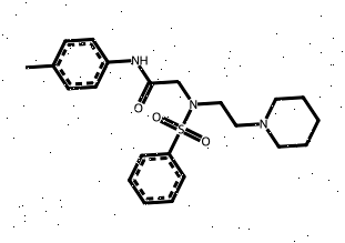 Cc1ccc(NC(=O)CN(CCN2CCCCC2)S(=O)(=O)c2ccccc2)cc1